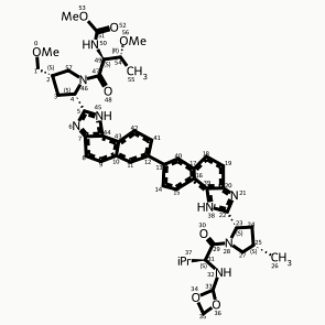 COC[C@H]1C[C@@H](c2nc3ccc4cc(-c5ccc6c(ccc7nc([C@@H]8C[C@H](C)CN8C(=O)[C@@H](NC8OCO8)C(C)C)[nH]c76)c5)ccc4c3[nH]2)N(C(=O)[C@@H](NC(=O)OC)[C@@H](C)OC)C1